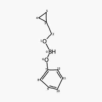 B(OCC1CC1)Oc1ccccc1